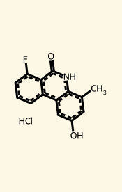 Cc1cc(O)cc2c1[nH]c(=O)c1c(F)cccc12.Cl